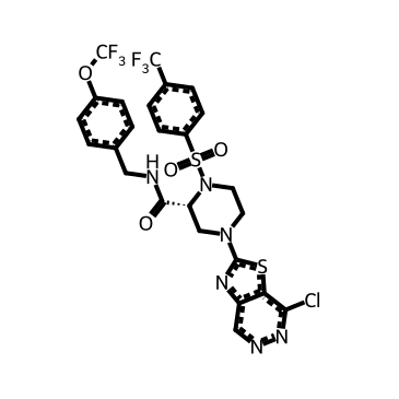 O=C(NCc1ccc(OC(F)(F)F)cc1)[C@H]1CN(c2nc3cnnc(Cl)c3s2)CCN1S(=O)(=O)c1ccc(C(F)(F)F)cc1